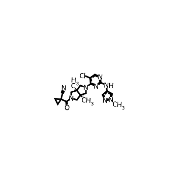 Cn1cc(Nc2ncc(Cl)c(N3C[C@]4(C)CN(C(=O)C5(C#N)CC5)C[C@]4(C)C3)n2)cn1